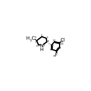 C[C@H]1CC[C@H](c2cc(F)cc(Cl)c2)NC1